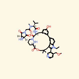 CCn1c(-c2cnccc2COC)c2c3cc(ccc31)-c1cc(O)cc(c1)C[C@H](NC(=O)[C@H](C(C)C)N(C)C(=O)CN1C(=O)[C@H]3N[C@H]3C1=O)C(=O)N1CCC[C@H](N1)C(=O)OCC(C)(C)C2